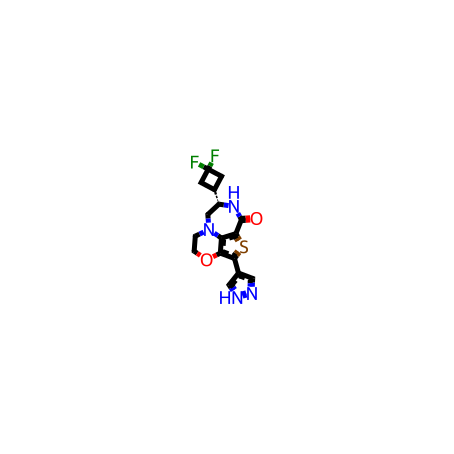 O=C1N[C@@H](C2CC(F)(F)C2)CN2CCOc3c(-c4cn[nH]c4)sc1c32